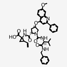 C=CC1C[C@]1(NC(=O)[C@@H]1C[C@@H](Oc2cc(-c3ccccc3)nc3cc(OC)ccc23)CN1C(=O)N[C@H](C(=O)NCc1ccccc1)C(C)C)C(=O)O